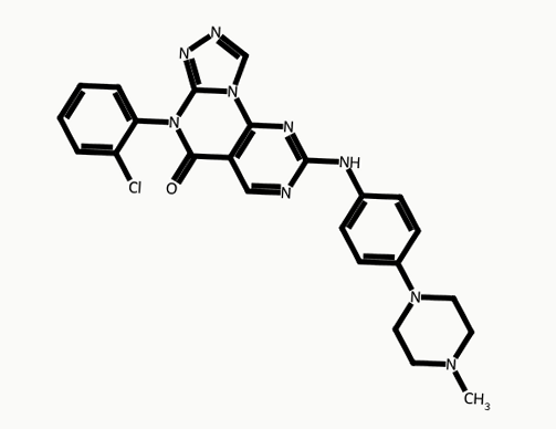 CN1CCN(c2ccc(Nc3ncc4c(=O)n(-c5ccccc5Cl)c5nncn5c4n3)cc2)CC1